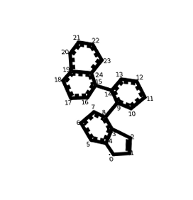 [CH]1C=Cc2c1cccc2-c1ccccc1-c1cccc2ccccc12